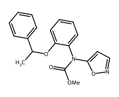 COC(=O)N(c1ccno1)c1ccccc1OC(C)c1ccccc1